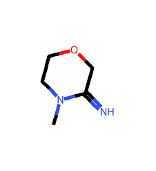 CN1CCOCC1=N